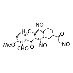 COc1cccc(C(=O)c2c(C)c(N=O)c3c(c2N=O)CC(C(=O)CN=O)CC3)c1C=O